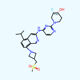 CC(C)c1ccc(N2CC(CS(C)(=O)=O)C2)c2cnc(Nc3ccnc(N4CC[C@@H](O)[C@@H](F)C4)n3)cc12